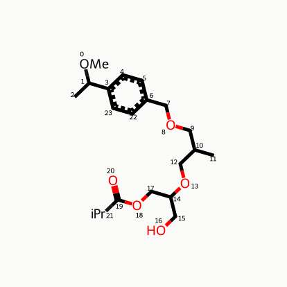 COC(C)c1ccc(COCC(C)COC(CO)COC(=O)C(C)C)cc1